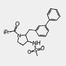 CC(C)C(=O)N1CCC(NS(C)(=O)=O)C1Cc1cccc(-c2ccccc2)c1